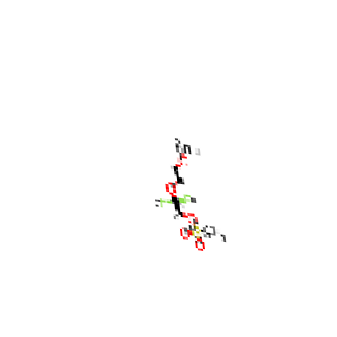 CCCCOCCOC(F)(F)COS(=O)(=O)C(F)(F)F